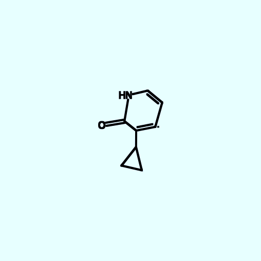 O=c1[nH]cc[c]c1C1CC1